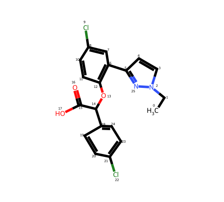 CCn1ccc(-c2cc(Cl)ccc2OC(C(=O)O)c2ccc(Cl)cc2)n1